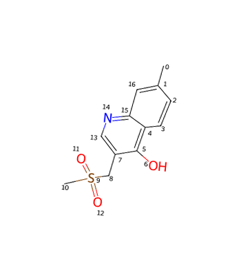 Cc1ccc2c(O)c(CS(C)(=O)=O)cnc2c1